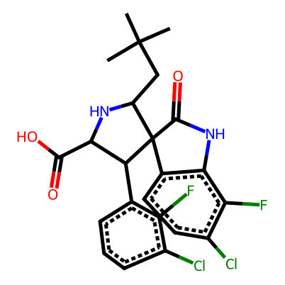 CC(C)(C)CC1NC(C(=O)O)C(c2cccc(Cl)c2F)C12C(=O)Nc1c2ccc(Cl)c1F